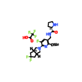 COc1nc(N2C[C@@H]3CC(F)(F)C[C@@H]3C2)c(F)cc1CNC(=O)[C@@H]1CCCN1.O=C(O)C(F)(F)F